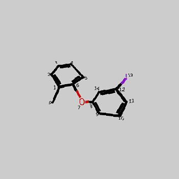 Cc1ccccc1Oc1cccc(I)c1